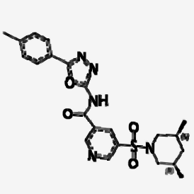 Cc1ccc(-c2nnc(NC(=O)c3cncc(S(=O)(=O)N4C[C@H](C)C[C@H](C)C4)c3)o2)cc1